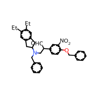 CCc1cc2c(cc1CC)CC(N(Cc1ccccc1)CC(C=O)c1ccc(OCc3ccccc3)c([N+](=O)[O-])c1)C2